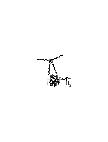 CCCCCCCC[CH2][Al-]([CH2]CCCCCCCC)([CH2]CCCCCCCC)[CH2]CCCCCCCC.CCCC[PH2+]CC.Fc1c(F)c(F)c(-c2c(C(F)(F)F)c(F)c(F)c(F)c2C(F)(F)C(F)(F)F)c(F)c1F